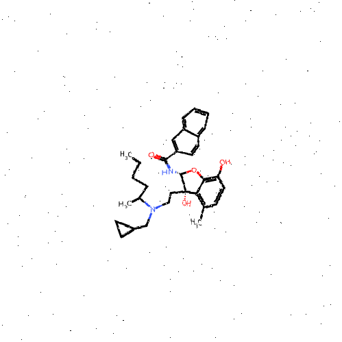 CCCCC(C)N(CC[C@]1(O)c2c(C)ccc(O)c2O[C@H]1NC(=O)c1ccc2ccccc2c1)CC1CC1